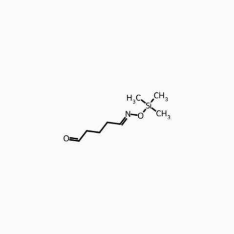 C[Si](C)(C)ON=CCCCC=O